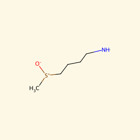 C[S+]([O-])CCCC[NH]